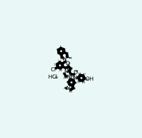 C[C@@H]1Cc2ccccc2CN1C(=O)c1ccc(Cl)cc1-c1ccc2n1CCNC2C(=O)N(c1ccc(O)cc1)c1ccc2c(ccn2C)c1.Cl